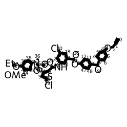 C#CCOc1ccc(C(=O)c2ccc(OC(=O)c3cc(Cl)cc(NC(=O)c4sc(Cl)cc4S(=O)(=O)N(C)c4ccc(OCC)c(OC)c4)c3)cc2)cc1